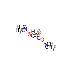 COc1cc2cc(OCCCN(C)C)ccc2c2ccc(OCCCN(C)C)cc12